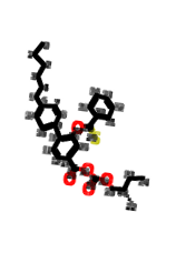 CCCCCCc1ccc(-c2ccc(C(=O)OC(=O)OC[C@@H](C)CC)cc2OC(=S)c2ccccc2)cc1